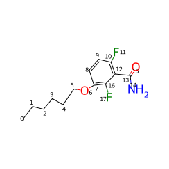 CCCCCCOc1ccc(F)c(C(N)=O)c1F